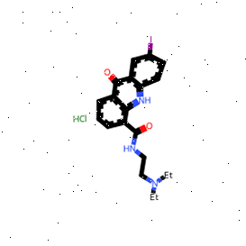 CCN(CC)CCNC(=O)c1cccc2c(=O)c3cc(I)ccc3[nH]c12.Cl